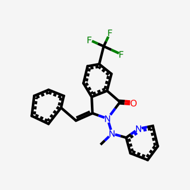 CN(c1ccccn1)N1C(=O)c2cc(C(F)(F)F)ccc2C1=Cc1ccccc1